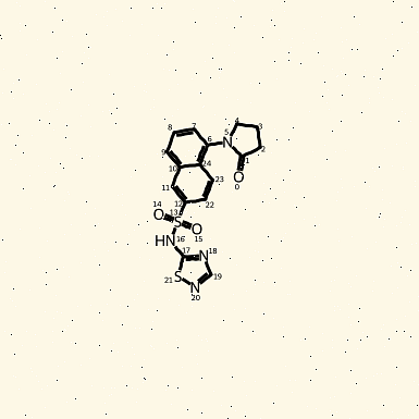 O=C1CCCN1c1cccc2cc(S(=O)(=O)Nc3ncns3)ccc12